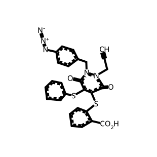 C#CCn1c(=O)c(Sc2ccccc2C(=O)O)c(Sc2ccccc2)c(=O)n1Cc1ccc(N=[N+]=[N-])cc1